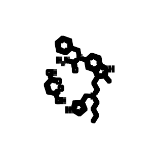 CCCCN(CCc1c(C)[nH]c2ccc(N(Cc3ccccc3)C(N)=O)cc12)Cc1cc[nH]c1.O=C(O)/C=C\C(=O)O